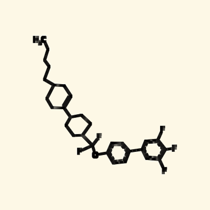 CCCCCC1CC=C(C2CCC(C(F)(F)Oc3ccc(-c4cc(F)c(F)c(F)c4)cc3)CC2)CC1